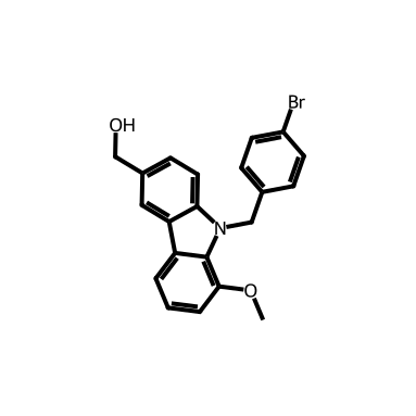 COc1cccc2c3cc(CO)ccc3n(Cc3ccc(Br)cc3)c12